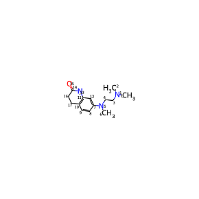 CN(C)CCN(C)c1ccc2c(c1)[N]C(=O)CC2